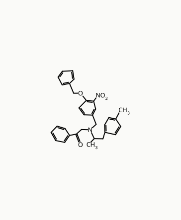 Cc1ccc(CC(C)N(CC(=O)c2ccccc2)Cc2ccc(OCc3ccccc3)c([N+](=O)[O-])c2)cc1